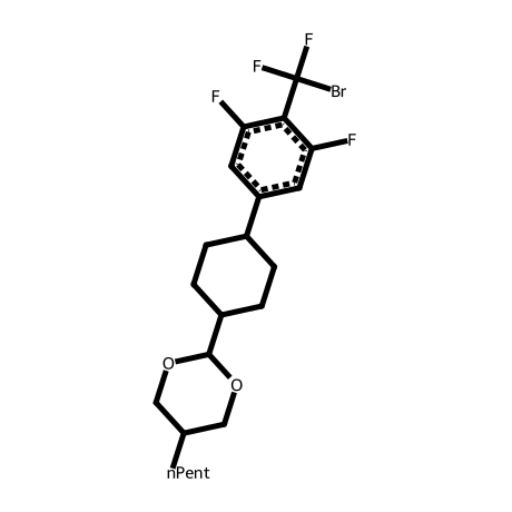 CCCCCC1COC(C2CCC(c3cc(F)c(C(F)(F)Br)c(F)c3)CC2)OC1